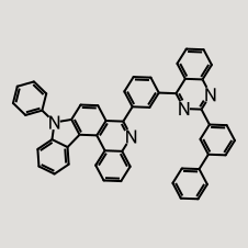 c1ccc(-c2cccc(-c3nc(-c4cccc(-c5nc6ccccc6c6c5ccc5c6c6ccccc6n5-c5ccccc5)c4)c4ccccc4n3)c2)cc1